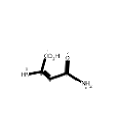 NC(=O)/C=C(/S)C(=O)O